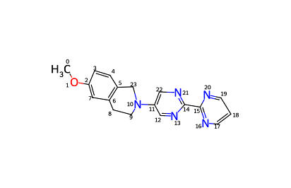 COc1ccc2c(c1)CCN(c1cnc(-c3ncccn3)nc1)C2